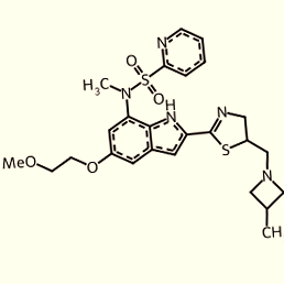 COCCOc1cc(N(C)S(=O)(=O)c2ccccn2)c2[nH]c(C3=NCC(CN4CC(C)C4)S3)cc2c1